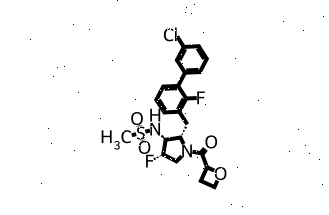 CS(=O)(=O)N[C@H]1[C@@H](F)CN(C(=O)C2CCO2)[C@H]1Cc1cccc(-c2cccc(Cl)c2)c1F